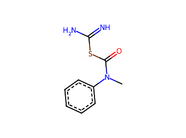 CN(C(=O)SC(=N)N)c1ccccc1